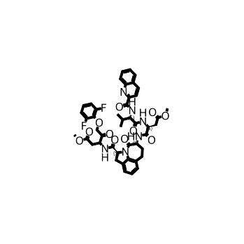 COC(=O)CC(NC(=O)[C@@H]1Cc2cccc3c2N1C(=O)[C@@H](NC(=O)[C@H](CC(=O)OC)NC(=O)[C@@H](NC(=O)c1ccc2ccccc2n1)C(C)C)CC3)C(=O)COc1c(F)cccc1F